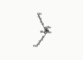 CC(C)(C)c1cc(CCCOCCOCCOCCOCCO)cc(C(C)(C)C)c1OC(=O)Oc1c(C(C)(C)C)cc(CCCOCCOCCOCCOCCO)cc1C(C)(C)C